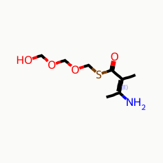 C/C(N)=C(/C)C(=O)SCOCOCO